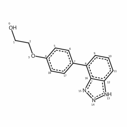 OCCOc1ccc(-c2cccc3[nH]nnc23)cc1